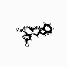 COc1sc(Cl)cc1N(Cc1cc2ccccc2o1)C(=N)N